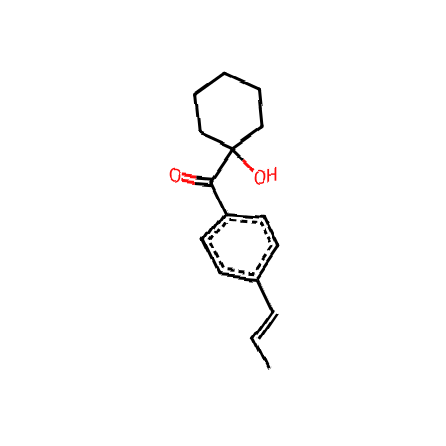 CC=Cc1ccc(C(=O)C2(O)CCCCC2)cc1